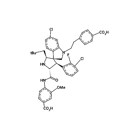 COc1cc(C(=O)O)ccc1NC(=O)[C@@H]1N[C@@H](CC(C)(C)C)[C@@]2(CN(CCc3ccc(C(=O)O)cc3)c3cc(Cl)ccc32)[C@H]1c1cccc(Cl)c1F